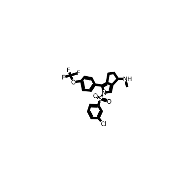 CNC1CCc2c1cn(S(=O)(=O)c1cccc(Cl)c1)c2-c1ccc(OC(F)(F)F)cc1